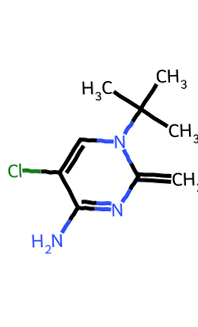 C=C1N=C(N)C(Cl)=CN1C(C)(C)C